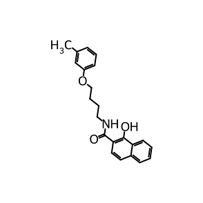 Cc1cccc(OCCCCNC(=O)c2ccc3ccccc3c2O)c1